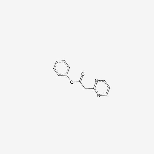 O=C(Cc1ncccn1)Oc1ccccc1